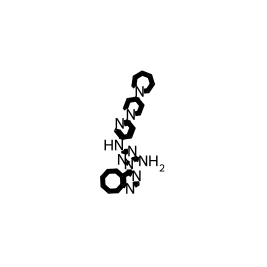 Nc1nc(Nc2ccc(N3CCC(N4CCCCCC4)CC3)nc2)nn1-c1ncnc2c1CCCCCC2